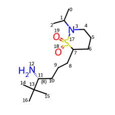 CC(C)N1CCCC(CCC[C@@H](N)C(C)(C)C)S1(=O)=O